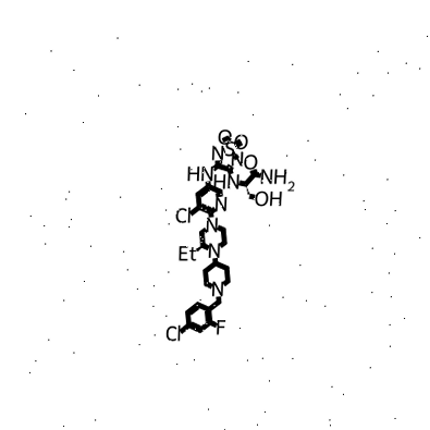 CC[C@H]1CN(c2ncc(NC3=NS(=O)(=O)N=C3N[C@@H](CO)C(N)=O)cc2Cl)CCN1C1CCN(Cc2ccc(Cl)cc2F)CC1